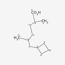 CC(CCC(C)C(=O)O)CC1CCC1